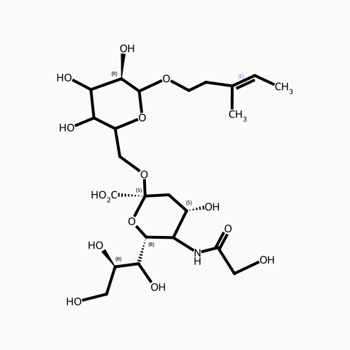 C/C=C(\C)CCOC1OC(CO[C@@]2(C(=O)O)C[C@H](O)C(NC(=O)CO)[C@H](C(O)[C@H](O)CO)O2)C(O)C(O)[C@H]1O